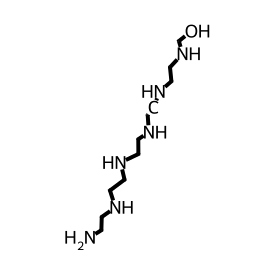 NCCNCCNCCNCCNCCNCO